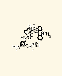 COc1ccccc1C(CNc1ncc2n(c1=O)[C@H](C(=O)NCc1ccc(N)nc1C)CC2)c1ccccc1OC.Cl.Cl